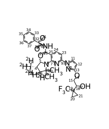 [2H]C([2H])([2H])[C@@H]1CN(c2nc(-n3ccc(OCC(O)C4(C(F)(F)F)CC4)n3)ccc2C(=O)NS(=O)(=O)c2ccccc2)C(C)(C)C1([2H])[2H]